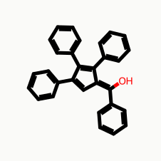 OC(=C1C=C(c2ccccc2)C(c2ccccc2)=C1c1ccccc1)c1ccccc1